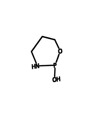 OP1NCCCO1